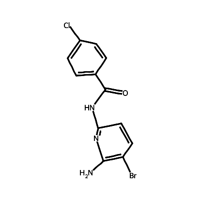 Nc1nc(NC(=O)c2ccc(Cl)cc2)ccc1Br